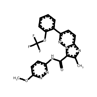 COc1ccc(NC(=O)c2c(C)nc3ccc(-c4ccccc4OC(F)(F)F)nn23)nn1